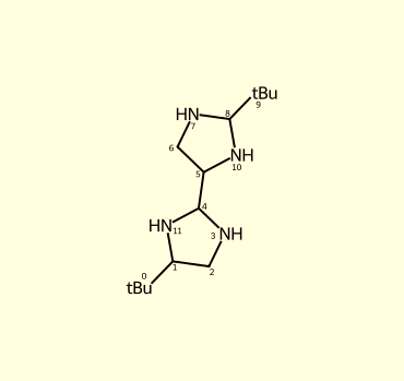 CC(C)(C)C1CNC(C2CNC(C(C)(C)C)N2)N1